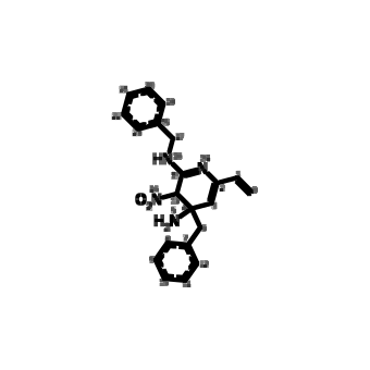 C=CC1=CC(N)(Cc2ccccc2)C([N+](=O)[O-])C(NCc2ccccc2)=N1